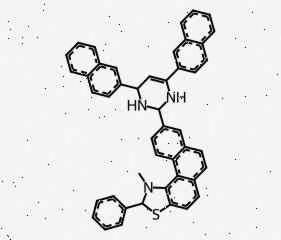 CN1c2c(ccc3ccc4cc(C5NC(c6ccc7ccccc7c6)=CC(c6ccc7ccccc7c6)N5)ccc4c23)SC1c1ccccc1